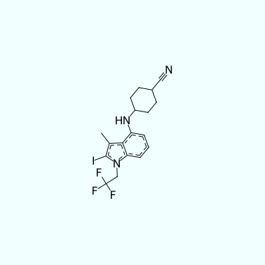 Cc1c(I)n(CC(F)(F)F)c2cccc(NC3CCC(C#N)CC3)c12